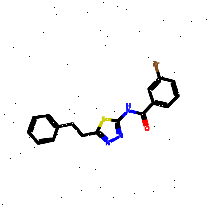 O=C(Nc1nnc(CCc2ccccc2)s1)c1cccc(Br)c1